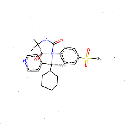 CNC(c1ccncc1)(C1CCCCC1)[N+]1(c2ccc(S(=O)(=O)C(F)(F)F)cc2)C(=O)NC(C)(C)C1=O